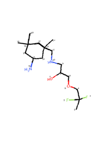 CC(F)(F)COCC(O)CNCC1(C)CC(N)CC(C)(C)C1